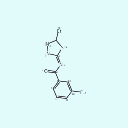 CCC1N[N]C(=NC(=O)c2cccc(F)c2)S1